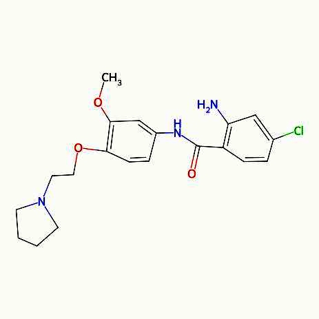 COc1cc(NC(=O)c2ccc(Cl)cc2N)ccc1OCCN1CCCC1